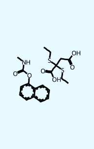 CCSC(CC(=O)O)(SCC)C(=O)O.CNC(=O)Oc1cccc2ccccc12